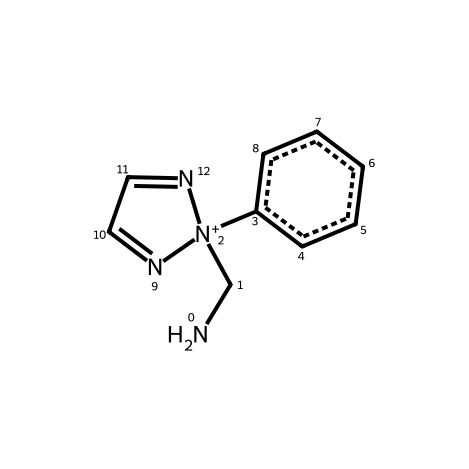 NC[N+]1(c2ccccc2)N=CC=N1